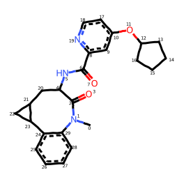 CN1C(=O)C(NC(=O)c2cc(OC3CCCC3)ccn2)CC2CC2c2ccccc21